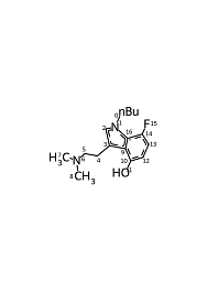 CCCCn1cc(CCN(C)C)c2c(O)ccc(F)c21